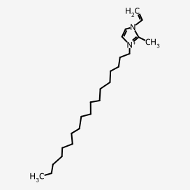 C=Cn1cc[n+](CCCCCCCCCCCCCCCCCC)c1C